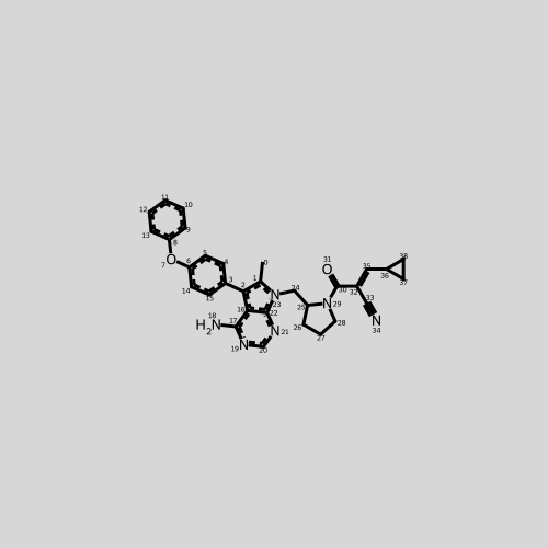 Cc1c(-c2ccc(Oc3ccccc3)cc2)c2c(N)ncnc2n1CC1CCCN1C(=O)C(C#N)=CC1CC1